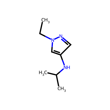 CCn1cc(NC(C)C)cn1